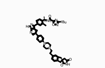 Cc1cc(-c2n[nH]c3ncc(-c4ccc(N5CCN(CCc6ccc7c(c6)C[C@]6(CC(=O)NC6=O)C7)CC5)cc4)cc23)ccc1[C@@H](C)NC(=O)c1nc(C(C)(C)C)no1